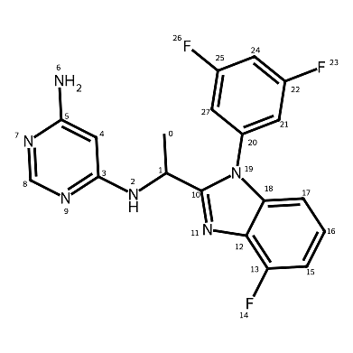 CC(Nc1cc(N)ncn1)c1nc2c(F)cccc2n1-c1cc(F)cc(F)c1